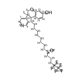 CC1(c2ccncc2)COc2cc(O)ccc2C1CCCCCCCCC[S+]([O-])CCCC(F)(F)C(F)(F)F